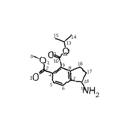 COC(=O)c1ccc2c(c1C(=O)OC(C)C)CCC2N